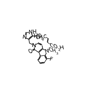 Cc1[nH]cnc1Cn1ccc2c(c1=O)c1cccc(F)c1n2C.O=C(O)C=CC(=O)O